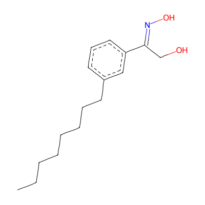 CCCCCCCCc1cccc(C(CO)=NO)c1